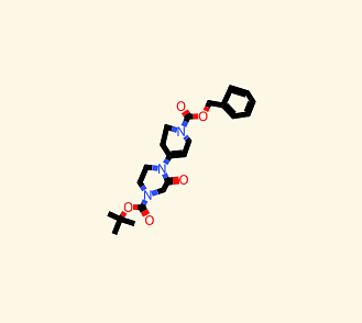 CC(C)(C)OC(=O)N1CCN(C2=CCN(C(=O)OCc3ccccc3)CC2)C(=O)C1